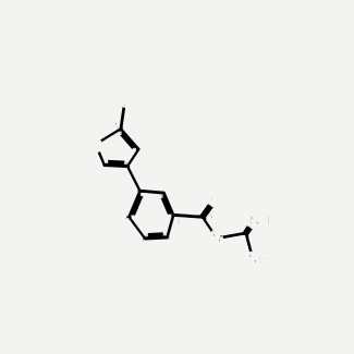 N=C(N)NC(=O)c1cccc(-c2csc(Cl)c2)c1